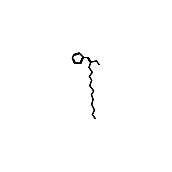 CCCCCCCCCCCCC(=Cc1ccccc1)CC